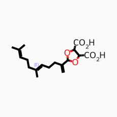 C=C(CC/C=C(\C)CCC=C(C)C)C1OC(C(=O)O)C(C(=O)O)O1